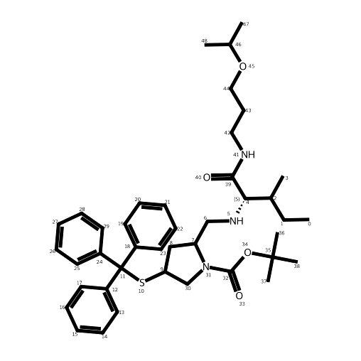 CCC(C)[C@H](NCC1CC(SC(c2ccccc2)(c2ccccc2)c2ccccc2)CN1C(=O)OC(C)(C)C)C(=O)NCCCOC(C)C